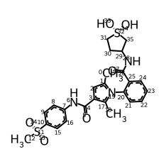 Cc1cc(C(=O)Nc2ccc(S(C)(=O)=O)cc2)c(C)n1-c1ccccc1C(=O)NC1CCS(O)(O)C1